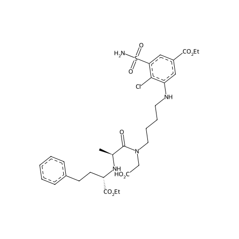 CCOC(=O)c1cc(NCCCCN(CC(=O)O)C(=O)[C@H](C)N[C@@H](CCc2ccccc2)C(=O)OCC)c(Cl)c(S(N)(=O)=O)c1